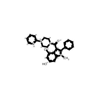 Cl.Cn1c(-c2ccccc2)c(C(=O)N2CCN(c3ccccn3)CC2)c2c(Cl)cccc21